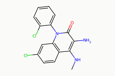 CNc1c(N)c(=O)n(-c2ccccc2Cl)c2cc(Cl)ccc12